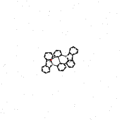 Cc1cccc(-p2c3ccccc3c3ccccc32)c1-c1c(C)cccc1-p1c2ccccc2c2ccccc21